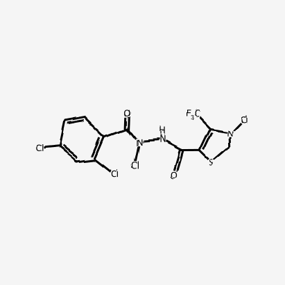 O=C(NN(Cl)C(=O)c1ccc(Cl)cc1Cl)C1=C(C(F)(F)F)N(Cl)CS1